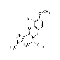 COc1ccc(CN(C(=O)c2cn(C)cn2)C(C)C)cc1Br